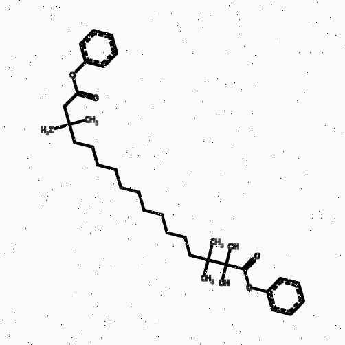 CC(C)(CCCCCCCCCCCC(C)(C)C(O)(O)C(=O)Oc1ccccc1)CC(=O)Oc1ccccc1